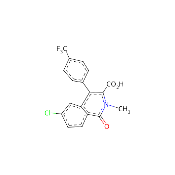 Cn1c(C(=O)O)c(-c2ccc(C(F)(F)F)cc2)c2cc(Cl)ccc2c1=O